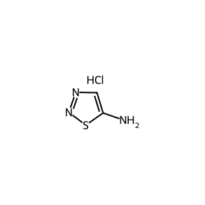 Cl.Nc1cnns1